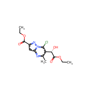 CCOC(=O)c1cc2nc(C)c([C@H](O)C(=O)OCC)c(Cl)n2n1